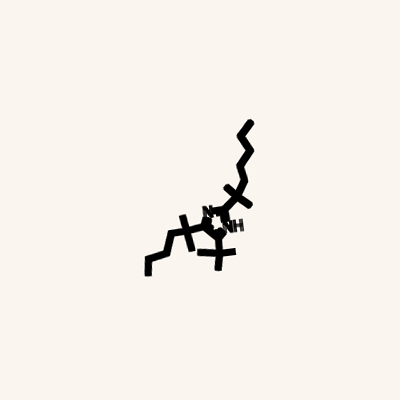 CCCCCC(C)(C)c1nc(C(C)(C)CCCC)c(C(C)(C)C)[nH]1